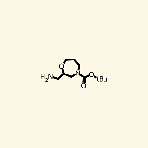 CC(C)(C)OC(=O)N1CCCOC(CN)C1